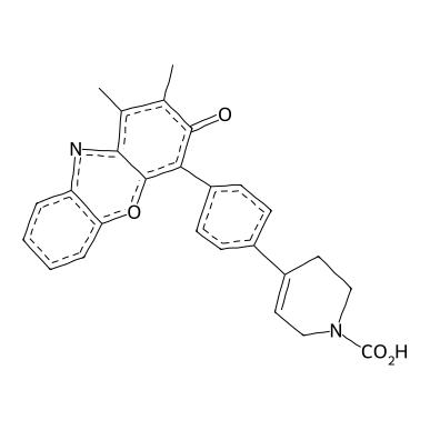 Cc1c2nc3ccccc3oc-2c(-c2ccc(C3=CCN(C(=O)O)CC3)cc2)c(=O)c1C